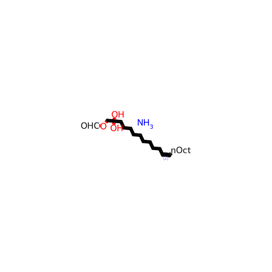 CCCCCCCC/C=C\CCCCCCCCCC(O)(O)COC=O.N